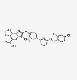 Cn1c(CN2CCC(c3cccc(OCc4ccc(Cl)cc4F)n3)CC2)nc2c3c(c(C(=O)O)cc21)OCO3